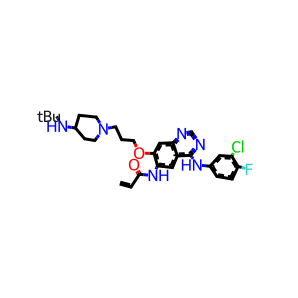 C=CC(=O)Nc1cc2c(Nc3ccc(F)c(Cl)c3)ncnc2cc1OCCCN1CCC(NC(C)(C)C)CC1